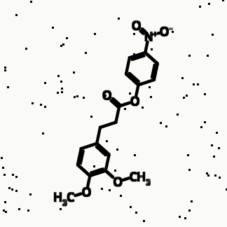 COc1ccc(CCC(=O)Oc2ccc([N+](=O)[O-])cc2)cc1OC